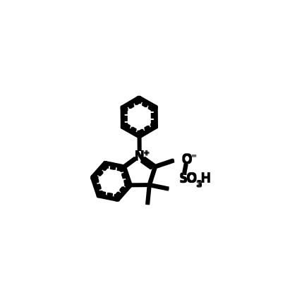 CC1=[N+](c2ccccc2)c2ccccc2C1(C)C.O=S(=O)([O-])O